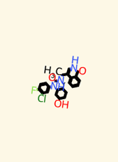 CC(c1c[nH]c(=O)c2ccccc12)N(C[C@H]1CC[C@@H](O)CC1)C(=O)Nc1ccc(F)c(Cl)c1